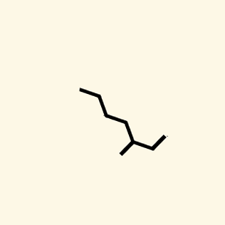 [CH2]CC(C)C[CH]CC